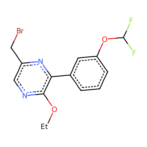 CCOc1ncc(CBr)nc1-c1cccc(OC(F)F)c1